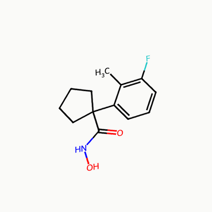 Cc1c(F)cccc1C1(C(=O)NO)CCCC1